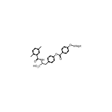 CCCCCCCOc1ccc(C(=O)Oc2ccc(C[C@H](NC(=O)c3cc(C)ccc3C)C(=O)O)cc2)cc1